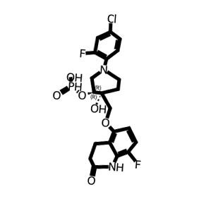 O=C1CCc2c(OC[C@]3(O)CCN(c4ccc(Cl)cc4F)C[C@H]3O[PH](=O)O)ccc(F)c2N1